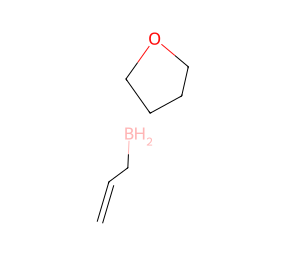 BCC=C.C1CCOC1